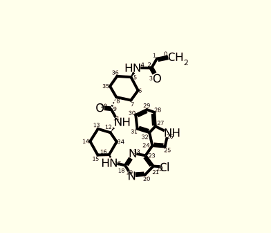 C=CC(=O)N[C@H]1CC[C@H](C(=O)N[C@H]2CCC[C@@H](Nc3ncc(Cl)c(-c4c[nH]c5ccccc45)n3)C2)CC1